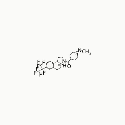 CN=S1CCC(C(=O)N2CCC3c4ccc(C(F)(C(F)(F)F)C(F)(F)F)cc4CC[C@H]32)CC1